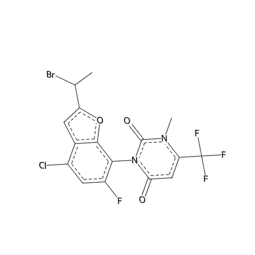 CC(Br)c1cc2c(Cl)cc(F)c(-n3c(=O)cc(C(F)(F)F)n(C)c3=O)c2o1